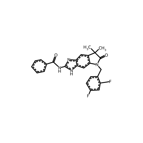 CC1(C)C(=O)N(Cc2ccc(F)cc2F)c2cc3[nH]c(NC(=O)c4ccccc4)nc3cc21